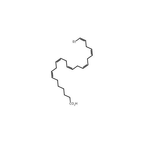 CC/C=C\C/C=C\C/C=C\C/C=C\C/C=C\C/C=C\CCCCCC(=O)O